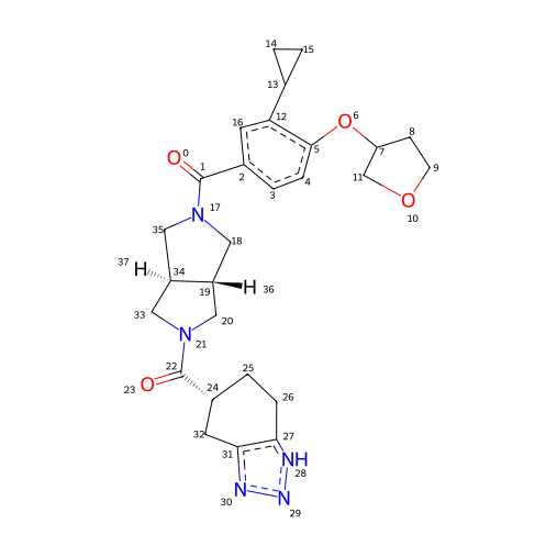 O=C(c1ccc(OC2CCOC2)c(C2CC2)c1)N1C[C@@H]2CN(C(=O)[C@@H]3CCc4[nH]nnc4C3)C[C@H]2C1